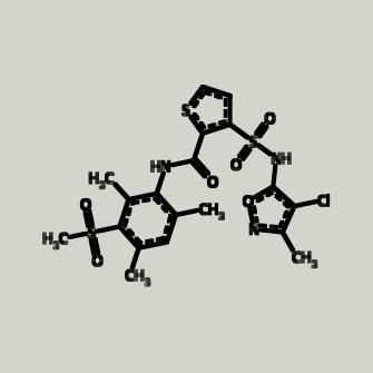 Cc1cc(C)c(S(C)(=O)=O)c(C)c1NC(=O)c1sccc1S(=O)(=O)Nc1onc(C)c1Cl